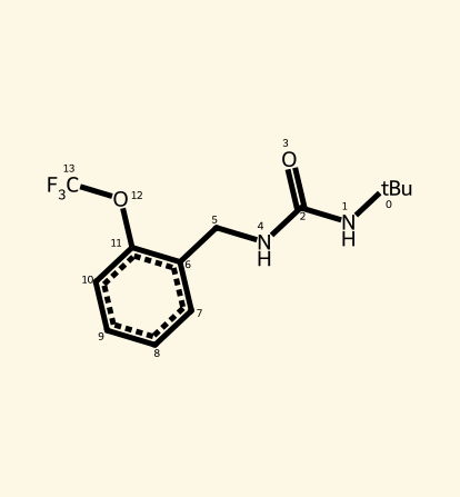 CC(C)(C)NC(=O)NCc1ccccc1OC(F)(F)F